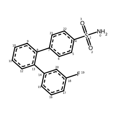 NS(=O)(=O)c1ccc(-c2ccccc2-c2cccc(F)c2)cc1